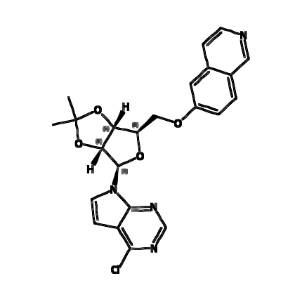 CC1(C)O[C@@H]2[C@H](O1)[C@@H](COc1ccc3cnccc3c1)O[C@H]2n1ccc2c(Cl)ncnc21